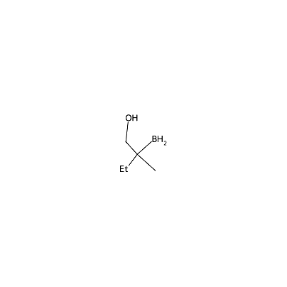 BC(C)(CC)CO